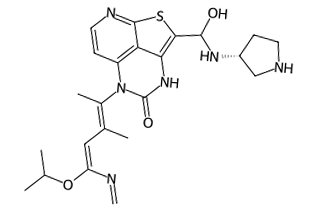 C=N/C(=C\C(C)=C(/C)N1C(=O)Nc2c(C(O)N[C@@H]3CCNC3)sc3nccc1c23)OC(C)C